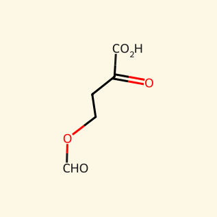 O=COCCC(=O)C(=O)O